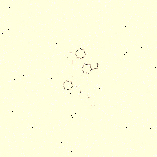 COCC(C)OC(=O)Cc1ccccc1OCc1cc(-c2cccc([C@@H](C)N)c2F)c2occc2c1